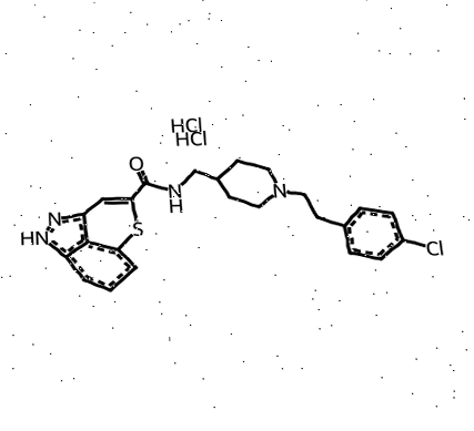 Cl.Cl.O=C(NCC1CCN(CCc2ccc(Cl)cc2)CC1)C1=Cc2n[nH]c3cccc(c23)S1